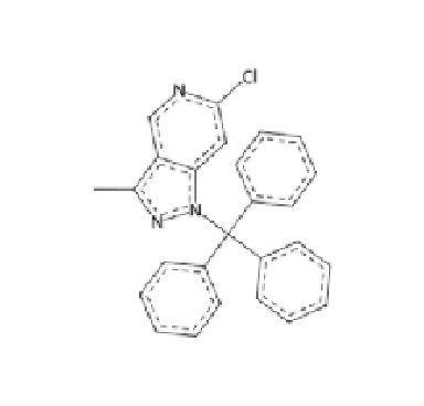 Cc1nn(C(c2ccccc2)(c2ccccc2)c2ccccc2)c2cc(Cl)ncc12